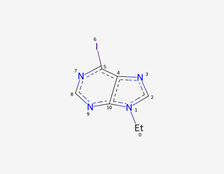 CCn1cnc2c(I)ncnc21